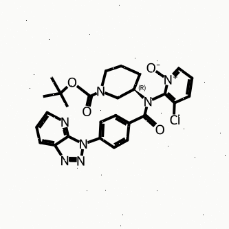 CC(C)(C)OC(=O)N1CCC[C@@H](N(C(=O)c2ccc(-n3nnc4cccnc43)cc2)c2c(Cl)ccc[n+]2[O-])C1